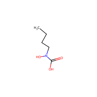 CCCCN(O)C(=O)O